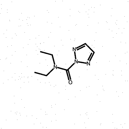 CCN(CC)C(=O)n1nccn1